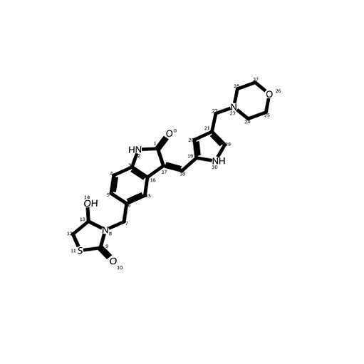 O=C1Nc2ccc(CN3C(=O)SCC3O)cc2C1=Cc1cc(CN2CCOCC2)c[nH]1